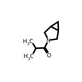 CC(C)C(=O)N1CC2CC2C1